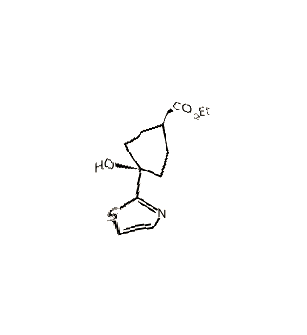 CCOC(=O)[C@H]1CC[C@](O)(c2nccs2)CC1